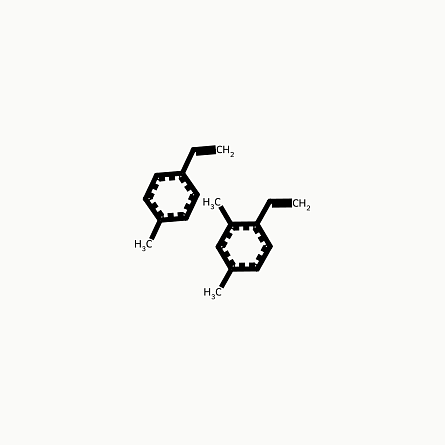 C=Cc1ccc(C)cc1.C=Cc1ccc(C)cc1C